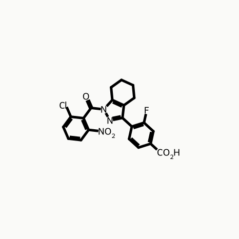 O=C(O)c1ccc(-c2nn(C(=O)c3c(Cl)cccc3[N+](=O)[O-])c3c2CCCC3)c(F)c1